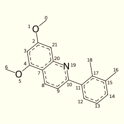 COc1cc(OC)c2ccc(-c3cccc(C)c3C)nc2c1